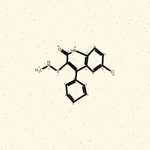 CNSc1c(-c2ccccc2)c2cc(Cl)ccc2[nH]c1=O